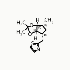 C[C@@H]1C[C@H](Cc2nccs2)[C@H]2OC(C)(C)O[C@H]21